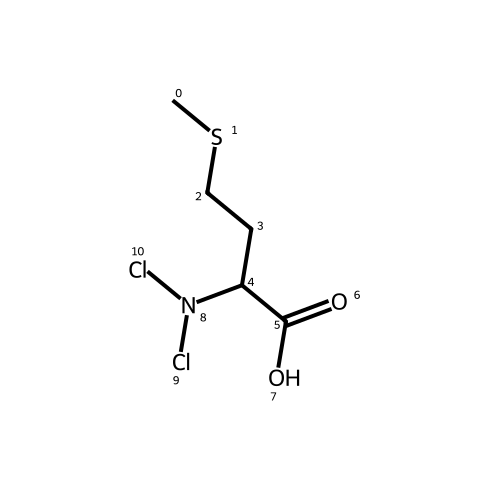 CSCCC(C(=O)O)N(Cl)Cl